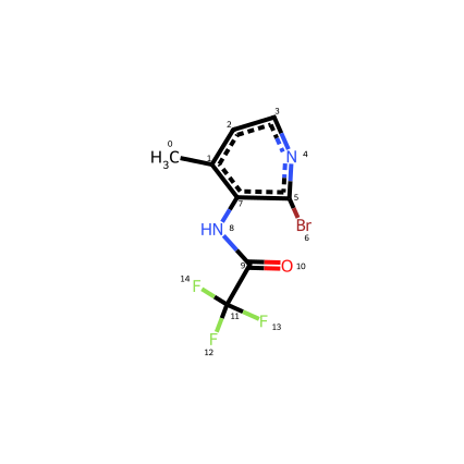 Cc1ccnc(Br)c1NC(=O)C(F)(F)F